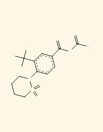 N=C(N)NC(=O)c1ccc(N2CCCCS2(=O)=O)c(C(F)(F)F)c1